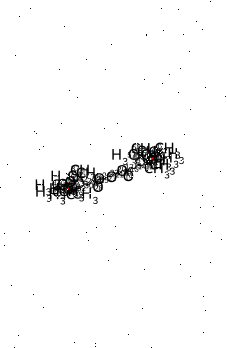 CC(C)(C)OC(=O)Oc1c(C(C)(C)C)cc(CCC(=O)OCCOCCOC(=O)CCc2cc(C(C)(C)C)c(OC(=O)OC(C)(C)C)c(C(C)(C)C)c2)cc1C(C)(C)C